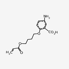 C=CC(=O)OCCCCOc1ccc(N)cc1C(=O)O